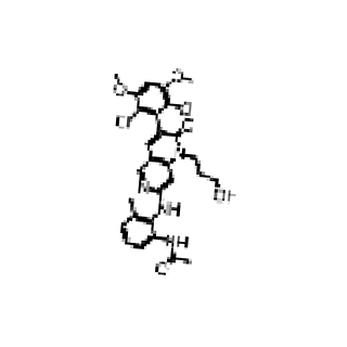 COc1cc(OC)c(Cl)c(-c2cc3cnc(Nc4c(C)cccc4NC(C)=O)cc3n(CCCO)c2=O)c1Cl